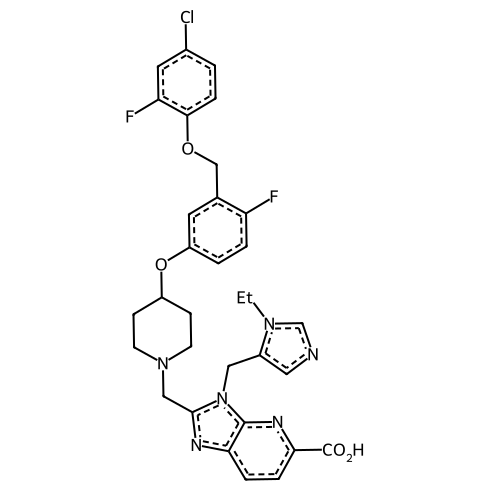 CCn1cncc1Cn1c(CN2CCC(Oc3ccc(F)c(COc4ccc(Cl)cc4F)c3)CC2)nc2ccc(C(=O)O)nc21